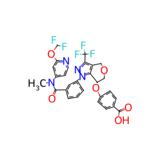 CN(C(=O)c1cccc(-n2nc(C(F)(F)F)c3c2[C@@H](Oc2ccc(C(=O)O)cc2)COC3)c1)c1ccnc(OC(F)F)c1